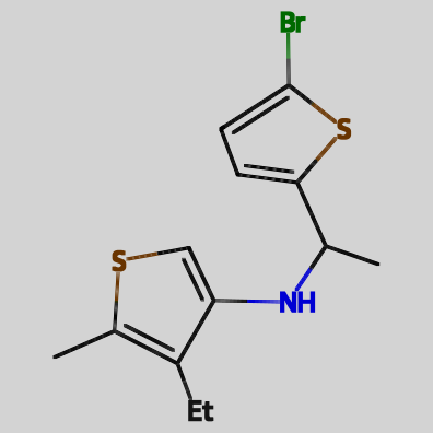 CCc1c(NC(C)c2ccc(Br)s2)csc1C